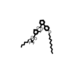 CCCCCCCCCCOc1ccc(-c2ccccc2C(=O)Oc2ccc(C(=O)O[C@H](CCCCCC)C(F)(F)F)cc2F)cc1